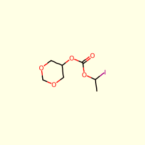 CC(I)OC(=O)OC1COCOC1